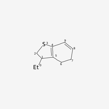 CCC1CSC2=C1CCC=C2